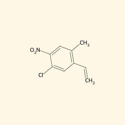 C=Cc1cc(Cl)c([N+](=O)[O-])cc1C